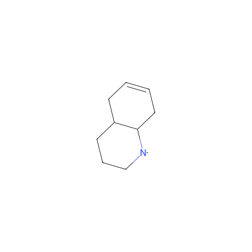 C1=CCC2[N]CCCC2C1